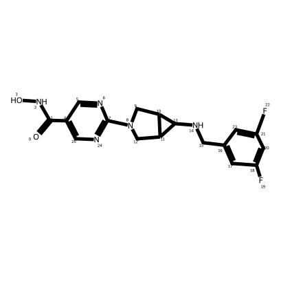 O=C(NO)c1cnc(N2CC3C(C2)C3NCc2cc(F)cc(F)c2)nc1